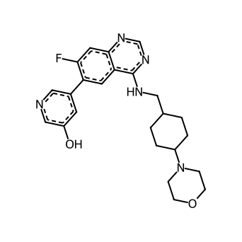 Oc1cncc(-c2cc3c(NCC4CCC(N5CCOCC5)CC4)ncnc3cc2F)c1